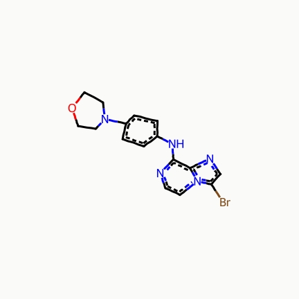 Brc1cnc2c(Nc3ccc(N4CCOCC4)cc3)nccn12